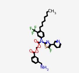 CCCCCCCCc1ccc(N(C(=O)OCOC(=O)c2cccc(CN)c2)c2nc(-c3cccnc3)c(F)s2)cc1C(F)(F)F